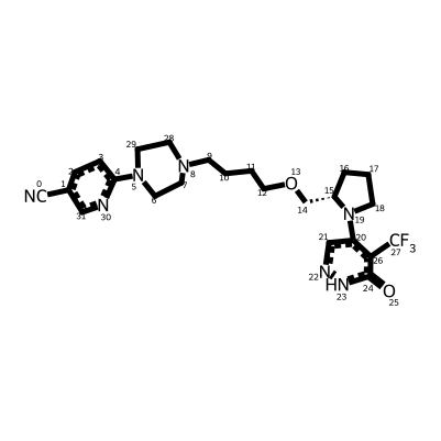 N#Cc1ccc(N2CCN(CCCCOC[C@@H]3CCCN3c3cn[nH]c(=O)c3C(F)(F)F)CC2)nc1